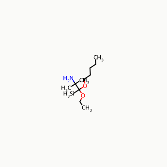 CCCCCOC([SiH3])(OCC)C(C)(C)N